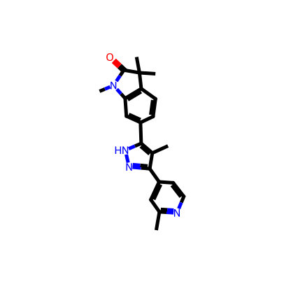 Cc1cc(-c2n[nH]c(-c3ccc4c(c3)N(C)C(=O)C4(C)C)c2C)ccn1